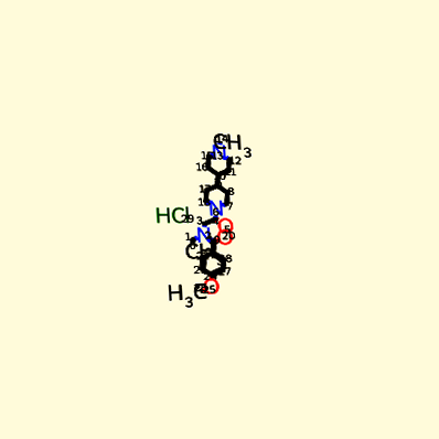 CCN(CC(=O)N1CCC(C2CCN(C)CC2)CC1)C(=O)c1ccc(OC)cc1.Cl